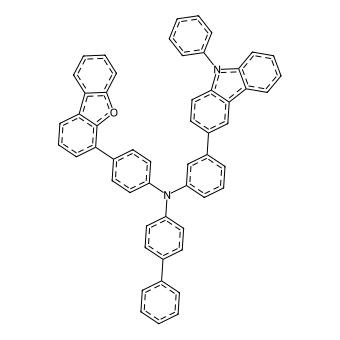 c1ccc(-c2ccc(N(c3ccc(-c4cccc5c4oc4ccccc45)cc3)c3cccc(-c4ccc5c(c4)c4ccccc4n5-c4ccccc4)c3)cc2)cc1